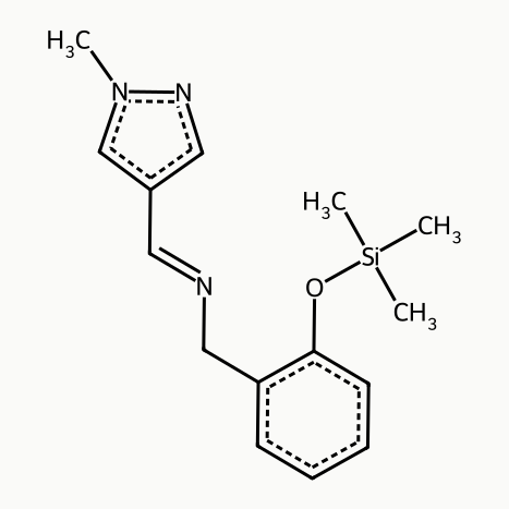 Cn1cc(C=NCc2ccccc2O[Si](C)(C)C)cn1